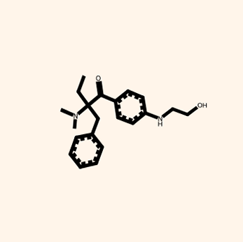 CCC(Cc1ccccc1)(C(=O)c1ccc(NCCO)cc1)N(C)C